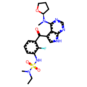 CCN(C)S(=O)(=O)Nc1cccc(C(=O)c2c[nH]c3ncnc(N(C)[C@@H]4CCCO4)c23)c1F